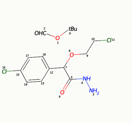 CC(C)(C)OC=O.NNC(=O)C(OCCCl)c1ccc(Cl)cc1